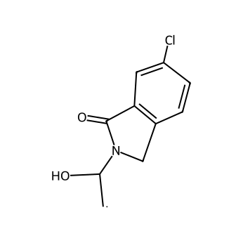 [CH2]C(O)N1Cc2ccc(Cl)cc2C1=O